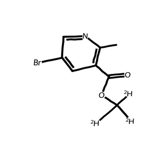 [2H]C([2H])([2H])OC(=O)c1cc(Br)cnc1C